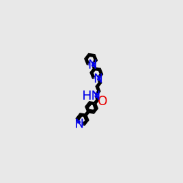 O=C(NCCCN1CCC(N2CCCCC2)CC1)c1ccc(-c2ccncc2)cc1